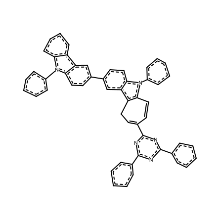 C1=Cc2c(c3cc(-c4ccc5c(c4)c4ccccc4n5-c4ccccc4)ccc3n2-c2ccccc2)CC=C1c1nc(-c2ccccc2)nc(-c2ccccc2)n1